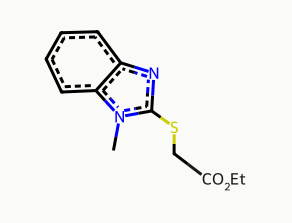 CCOC(=O)CSc1nc2ccccc2n1C